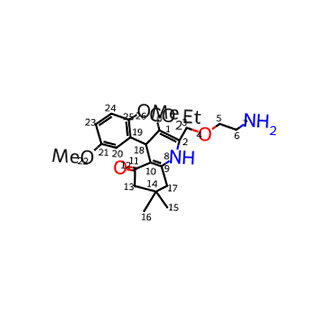 CCOC(=O)C1=C(COCCN)NC2=C(C(=O)CC(C)(C)C2)C1c1cc(OC)ccc1OC